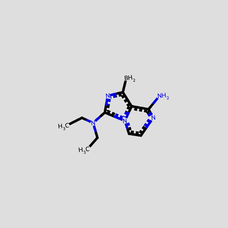 Bc1nc(N(CC)CC)n2ccnc(N)c12